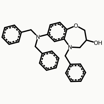 OC1COc2ccc(N(Cc3ccccc3)Cc3ccccc3)cc2N(Cc2ccccc2)C1